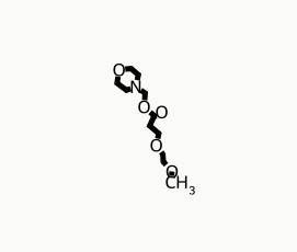 COCCOCCC(=O)OCN1CCOCC1